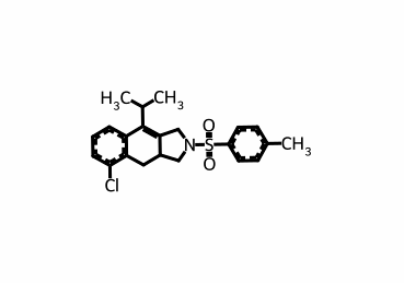 Cc1ccc(S(=O)(=O)N2CC3=C(C(C)C)c4cccc(Cl)c4CC3C2)cc1